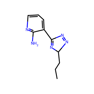 CCCC1N=NC(c2cccnc2N)=N1